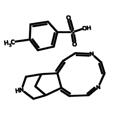 Cc1ccc(S(=O)(=O)O)cc1.c1cnccc2c(ccn1)C1CNCC2C1